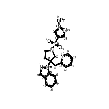 CCCn1cc(S(=O)(=O)N2CCC(Cc3ccccn3)(n3ncc4ccccc43)C2)cn1